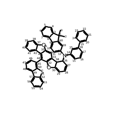 CC1(C)c2ccccc2-c2ccc(N(c3cccc(-c4ccccc4)c3)C3C=CC=C4Oc5c(cc6oc7ccccc7c6c5-c5cccc6c5sc5ccccc56)C43)cc21